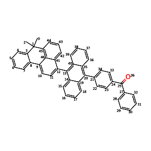 CC1(C)c2ccccc2-c2ccc(-c3c4ccccc4c(-c4ccc(C(=O)c5ccccc5)cc4)c4ccccc34)c3cccc1c23